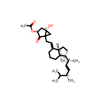 CC(=O)O[C@H]1C[C@@]2(O)CC2(C/C=C2\CCC[C@]3(C)[C@@H]([C@H](C)/C=C/[C@H](C)C(C)C)CC[C@@H]23)C1=O